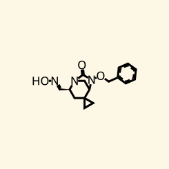 O=C1N(OCc2ccccc2)C2CN1[C@H](/C=N/O)CC21CC1